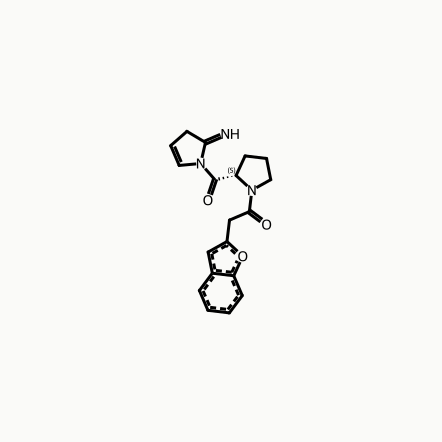 N=C1CC=CN1C(=O)[C@@H]1CCCN1C(=O)Cc1cc2ccccc2o1